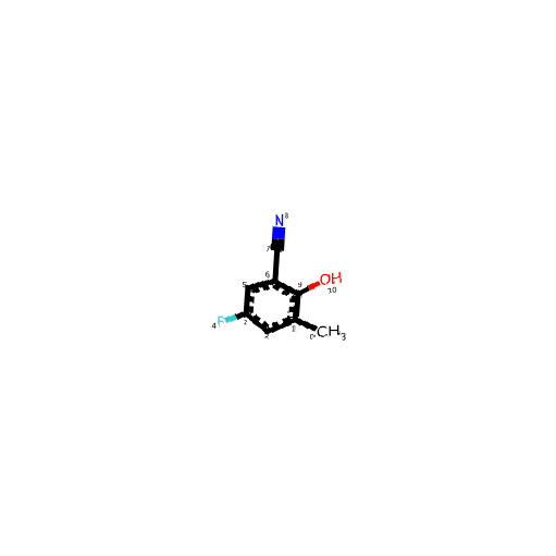 Cc1cc(F)cc(C#N)c1O